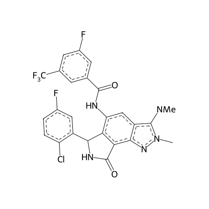 CNc1c2cc(NC(=O)c3cc(F)cc(C(F)(F)F)c3)c3c(c2nn1C)C(=O)NC3c1cc(F)ccc1Cl